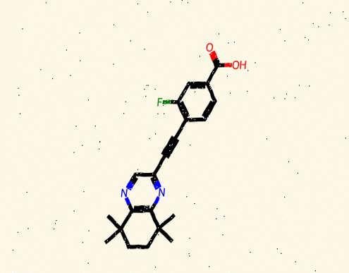 CC1(C)CCC(C)(C)c2nc(C#Cc3ccc(C(=O)O)cc3F)cnc21